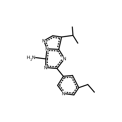 CCc1cncc(-c2nc(N)n3ncc(C(C)C)c3n2)c1